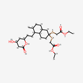 CCOC(=O)CSC1(SCC(=O)OCC)C[CH]C2C(CCC(C)C2CCC2CC(O)CC(=O)O2)C1